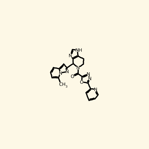 Cc1cccc2cc(C3c4nc[nH]c4CCN3C(=O)c3nnc(-c4ccccn4)o3)nn12